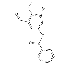 COc1c(Br)cc(OC(=O)c2ccccc2)cc1C=O